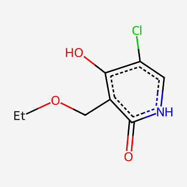 CCOCc1c(O)c(Cl)c[nH]c1=O